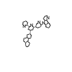 c1ccc(-c2cc(-c3ccc4c(ccc5ccccc54)c3)cc(-c3ccc(-n4c5ccccc5c5ncccc54)nc3)n2)nc1